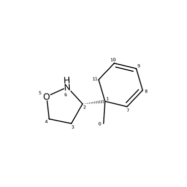 CC1([C@@H]2CCON2)C=CC=CC1